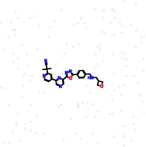 CC(C)(C#N)c1cc(-c2cncc(-c3nnc(-c4ccc(CNCC5COC5)cc4)o3)n2)ccn1